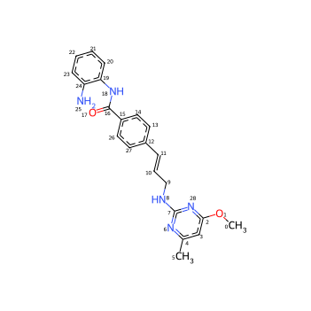 COc1cc(C)nc(NC/C=C/c2ccc(C(=O)Nc3ccccc3N)cc2)n1